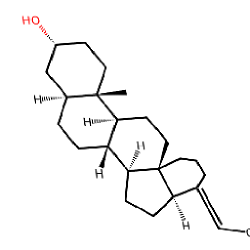 C[C@]12CC[C@@H](O)C[C@@H]1CC[C@@H]1[C@@H]2CC[C@@]23CCC/C(=C\C#N)[C@H]2CC[C@@H]13